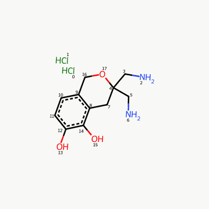 Cl.Cl.NCC1(CN)Cc2c(ccc(O)c2O)CO1